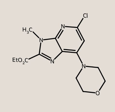 CCOC(=O)c1nc2c(N3CCOCC3)cc(Cl)nc2n1C